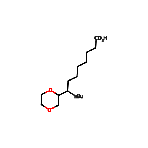 CCCCC(CCCCCCC(=O)O)C1COCCO1